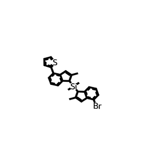 CC1=Cc2c(Br)cccc2C1[Si](C)(C)C1C(C)=Cc2c(-c3cccs3)cccc21